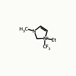 CC[N+]1(C(F)(F)F)C=CN(C)C1